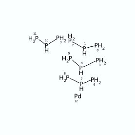 PPP.PPP.PPP.PPP.[Pd]